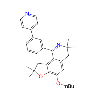 CCCCOc1cc2c(c3c1OC(C)(C)C3)C(c1cccc(-c3ccncc3)c1)=NC(C)(C)C2